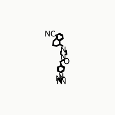 N#Cc1cccc2c1CCCC2CN1CCN(C(=O)Cc2ccc(-n3cnnn3)cc2)CC1